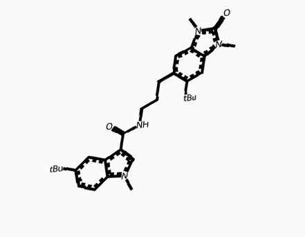 Cn1cc(C(=O)NCCCc2cc3c(cc2C(C)(C)C)n(C)c(=O)n3C)c2cc(C(C)(C)C)ccc21